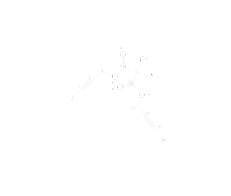 CC#CCOC(=O)C(C)(F)C(=O)OCC#CC